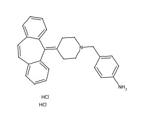 Cl.Cl.Nc1ccc(CN2CCC(=C3c4ccccc4C=Cc4ccccc43)CC2)cc1